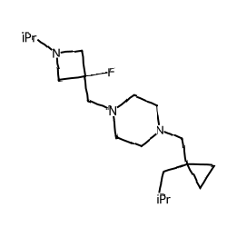 CC(C)CC1(CN2CCN(CC3(F)CN(C(C)C)C3)CC2)CC1